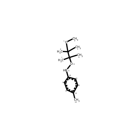 COC(C)(C)C(C)(C)OBc1ccc(C)cc1